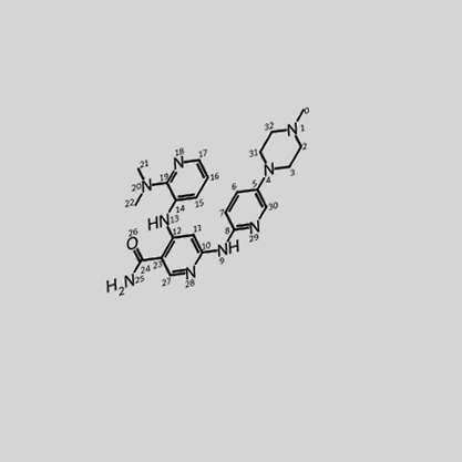 CN1CCN(c2ccc(Nc3cc(Nc4cccnc4N(C)C)c(C(N)=O)cn3)nc2)CC1